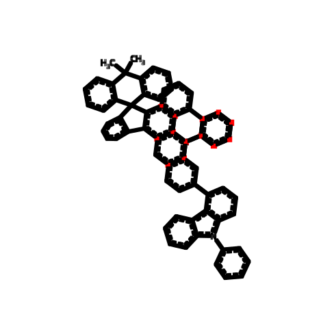 CC1(C)c2ccccc2C2(c3ccccc3-c3cc(N(c4cccc(-c5cccc6c5c5ccccc5n6-c5ccccc5)c4)c4ccccc4-c4ccccc4-c4ccccc4-c4ccccc4)ccc32)c2ccccc21